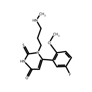 CNCCCn1c(-c2cc(F)ccc2OC)cc(=O)[nH]c1=S